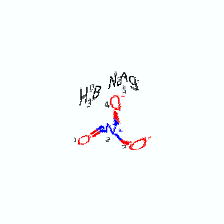 B.O=[N+]([O-])[O-].[Ag].[Na+]